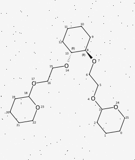 C1CCC(OCCO[C@@H]2CCCC[C@H]2OCCOC2CCCCO2)OC1